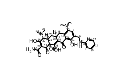 CN(C)c1cc(CNc2ccccn2)c(O)c2c1C[C@@H]1C[C@@H]3[C@@H](N(C)C)C(O)=C(C(N)=O)C(=O)[C@]3(O)C(O)=C1C2=O